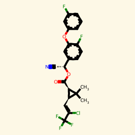 CC1(C)[C@H](C(=O)O[C@H](C#N)c2ccc(F)c(Oc3cccc(F)c3)c2)[C@@H]1/C=C(\Cl)C(F)(F)F